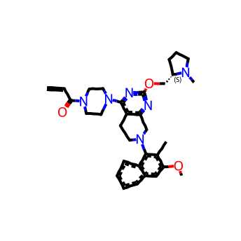 C=CC(=O)N1CCN(c2nc(OC[C@@H]3CCCN3C)nc3c2CCN(c2c(C)c(OC)cc4ccccc24)C3)CC1